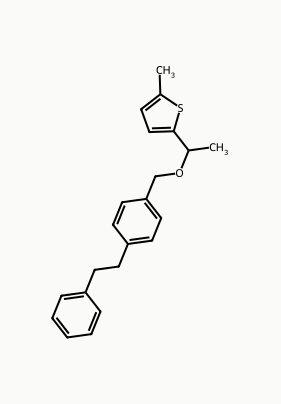 Cc1ccc(C(C)OCc2ccc(CCc3ccccc3)cc2)s1